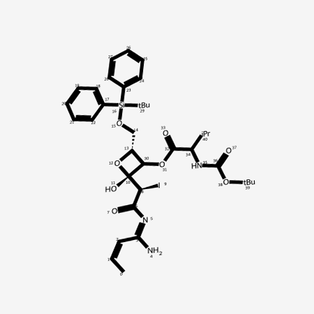 C/C=C\C(N)=N/C(=O)[C@H](I)[C@]1(O)O[C@H](CO[Si](c2ccccc2)(c2ccccc2)C(C)(C)C)C1OC(=O)C(NC(=O)OC(C)(C)C)C(C)C